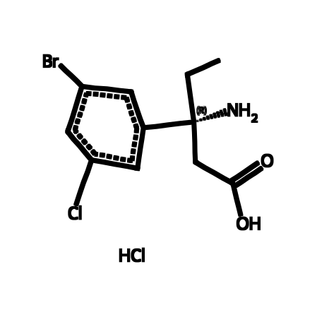 CC[C@@](N)(CC(=O)O)c1cc(Cl)cc(Br)c1.Cl